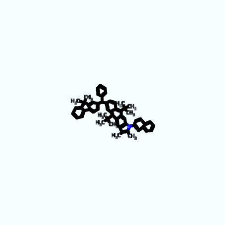 Cc1c(C)n(-c2ccc3ccccc3c2)c2cc3c(C(C)(C)C)c4ccc(C(c5ccccc5)c5ccc6c(c5)C(C)(C)c5ccccc5-6)cc4c(C(C)(C)C)c3cc12